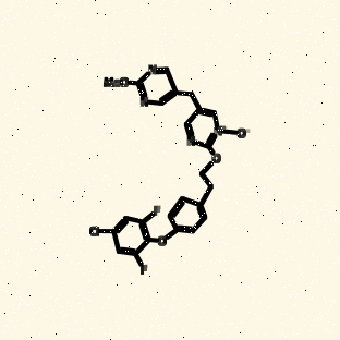 COc1ncc(Cc2cnc(OCCc3ccc(Oc4c(F)cc(Cl)cc4F)cc3)[n+]([O-])c2)cn1